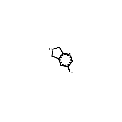 CCc1cnc2c(c1)CNC2